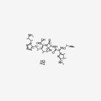 C#CCON=C(C(=O)NC1C(=O)N2C(C(=O)O)=C(CSc3nnnn3CCN)CS[C@@H]12)c1csc(N)n1.Cl.Cl